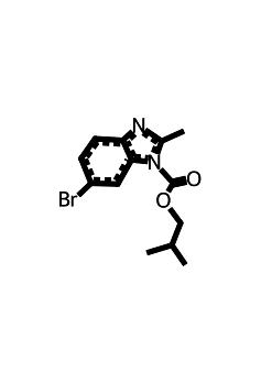 Cc1nc2ccc(Br)cc2n1C(=O)OCC(C)C